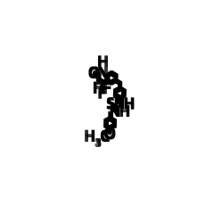 COc1ccc(CNC(=S)Nc2ccc(Cc3ccc4[nH]c(=O)cc(C(F)(F)F)c4c3)cc2)cc1